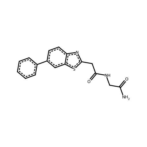 NC(=O)CNC(=O)Cc1nc2ccc(-c3ccccc3)cc2s1